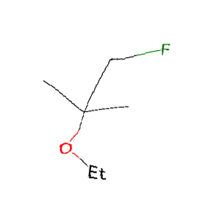 CCOC(C)(C)CF